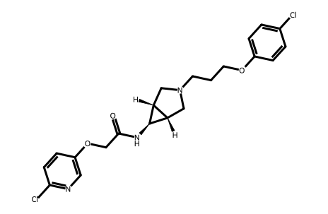 O=C(COc1ccc(Cl)nc1)N[C@H]1[C@@H]2CN(CCCOc3ccc(Cl)cc3)C[C@@H]21